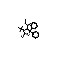 CC(CI)[C@@H]1N(C(C)(C)C)C(=O)OC1(c1ccccc1)c1ccccc1